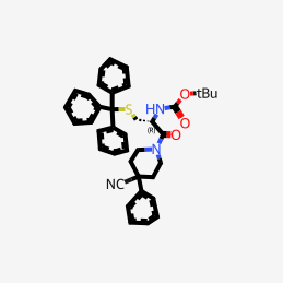 CC(C)(C)OC(=O)N[C@@H](CSC(c1ccccc1)(c1ccccc1)c1ccccc1)C(=O)N1CCC(C#N)(c2ccccc2)CC1